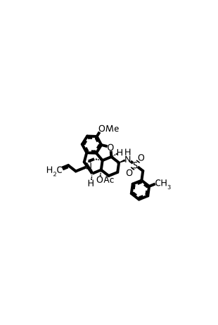 C=CCN1CC[C@]23c4c5ccc(OC)c4O[C@H]2[C@@H](NS(=O)(=O)Cc2ccccc2C)CC[C@@]3(OC(C)=O)[C@H]1C5